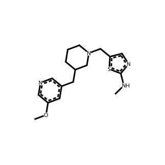 CNc1ncc(CN2CCCC(Cc3cncc(OC)c3)C2)s1